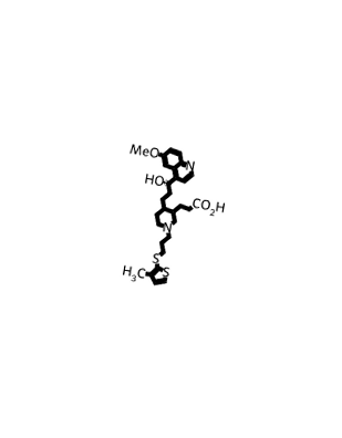 COc1ccc2nccc([C@@H](O)CCC3CCN(CCCSc4sccc4C)CC3CCC(=O)O)c2c1